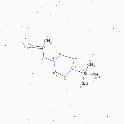 C=C(C)CN1CCN([Si](C)(C)C(C)(C)C)CC1